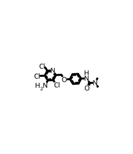 CN(C)C(=O)Nc1ccc(OCc2nc(Cl)c(Cl)c(N)c2Cl)cc1